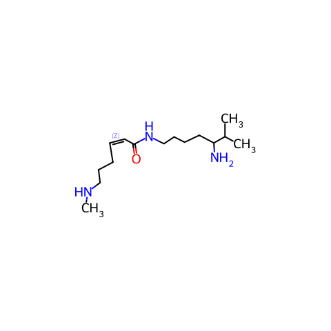 CNCCC/C=C\C(=O)NCCCCC(N)C(C)C